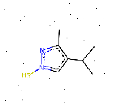 Cc1nn(S)cc1C(C)C